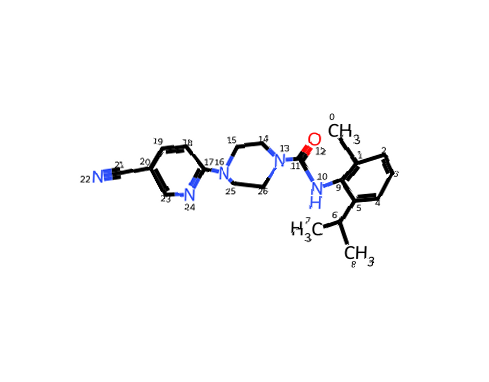 Cc1cccc(C(C)C)c1NC(=O)N1CCN(c2ccc(C#N)cn2)CC1